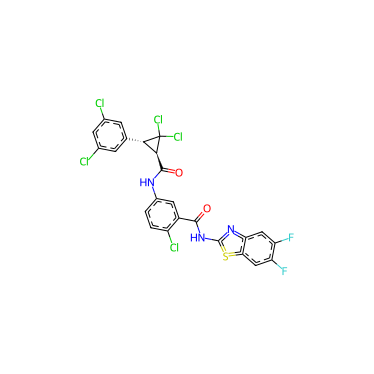 O=C(Nc1nc2cc(F)c(F)cc2s1)c1cc(NC(=O)[C@H]2[C@H](c3cc(Cl)cc(Cl)c3)C2(Cl)Cl)ccc1Cl